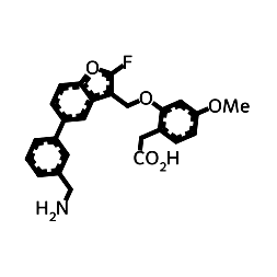 COc1ccc(CC(=O)O)c(OCc2c(F)oc3ccc(-c4cccc(CN)c4)cc23)c1